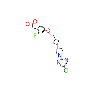 COC(=O)Cc1ccc(OCCC2CC(C3CCN(c4ncc(Cl)cn4)CC3)C2)cc1F